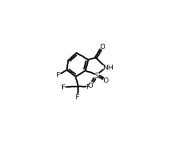 O=C1NS(=O)(=O)c2c1ccc(F)c2C(F)(F)F